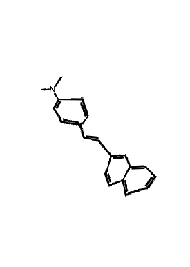 CN(C)c1ccc(/C=C/c2ccc3ccccc3c2)cc1